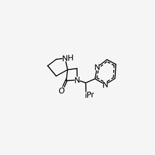 CC(C)C(c1ncccn1)N1CC2(CCCN2)C1=O